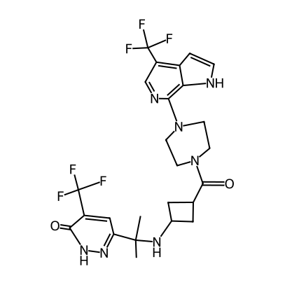 CC(C)(NC1CC(C(=O)N2CCN(c3ncc(C(F)(F)F)c4cc[nH]c34)CC2)C1)c1cc(C(F)(F)F)c(=O)[nH]n1